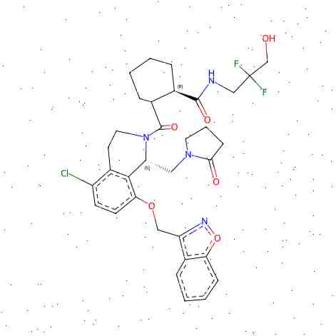 O=C(NCC(F)(F)CO)[C@@H]1CCCCC1C(=O)N1CCc2c(Cl)ccc(OCc3noc4ccccc34)c2[C@H]1CN1CCCC1=O